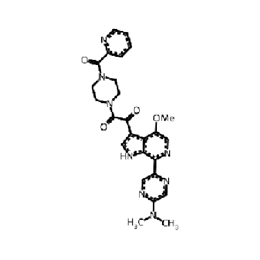 COc1cnc(-c2cnc(N(C)C)cn2)c2[nH]cc(C(=O)C(=O)N3CCN(C(=O)c4ccccn4)CC3)c12